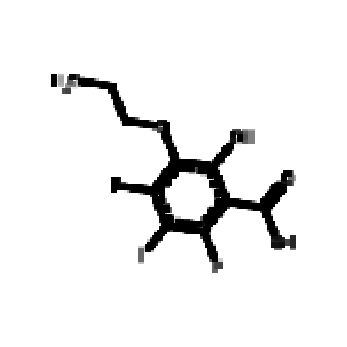 CCCOc1c(O)c(C(=O)O)c(F)c(F)c1F